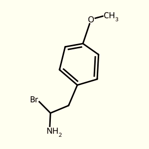 COc1ccc(CC(N)Br)cc1